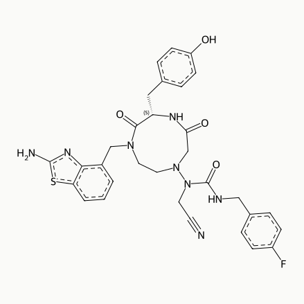 N#CCN(C(=O)NCc1ccc(F)cc1)N1CCN(Cc2cccc3sc(N)nc23)C(=O)[C@H](Cc2ccc(O)cc2)NC(=O)C1